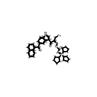 O=C(N=P(C1CCCC1)(C1CCCC1)C1CCCC1)O/N=C(/CF)C(=O)c1c[nH]c2ccc(C(=O)c3cccc4ccccc34)cc12